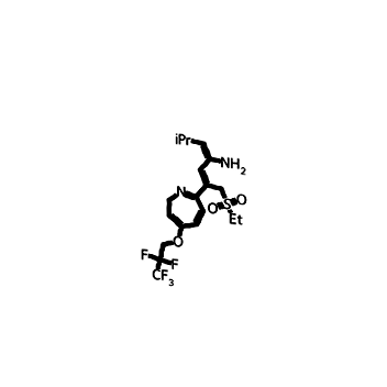 CCS(=O)(=O)C/C(=C\C(N)=C/C(C)C)C1=NCC=C(OCC(F)(F)C(F)(F)F)C=C1